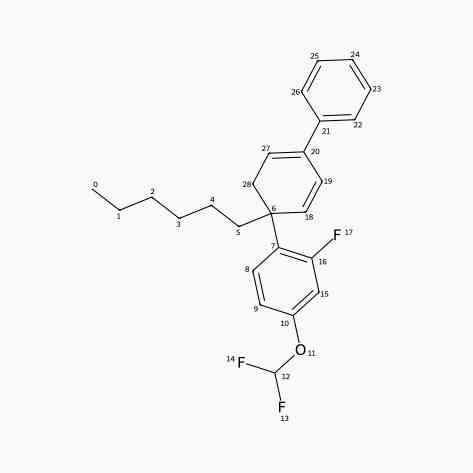 CCCCCCC1(c2ccc(OC(F)F)cc2F)C=CC(c2ccccc2)=CC1